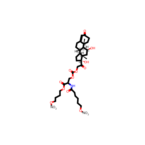 C[C@]12CCC(=O)C=C1CC[C@@H]1[C@@H]2[C@@H](O)C[C@@]2(C)[C@H]1CC[C@]2(O)C(=O)COC(=O)OCC(NC(=O)CCCCCO[N+](=O)[O-])C(=O)OCCCCO[N+](=O)[O-]